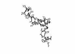 C=CC(=O)Nc1cccc(Sc2nc(Nc3ccc(N4CCN(C)CC4)cc3C)nc3ccnn23)c1